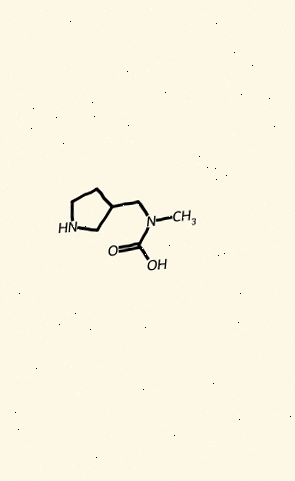 CN(CC1CCNC1)C(=O)O